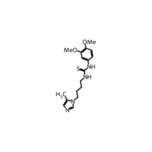 COc1ccc(NC(=S)NCCCCn2cncc2C)cc1OC